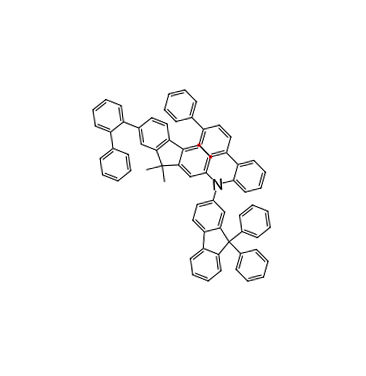 CC1(C)c2cc(-c3ccccc3-c3ccccc3)ccc2-c2ccc(N(c3ccc4c(c3)C(c3ccccc3)(c3ccccc3)c3ccccc3-4)c3ccccc3-c3ccc(-c4ccccc4)cc3)cc21